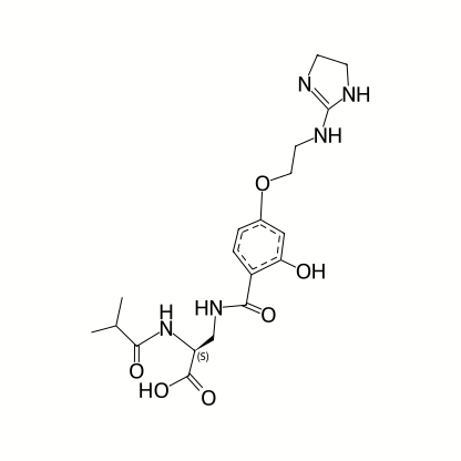 CC(C)C(=O)N[C@@H](CNC(=O)c1ccc(OCCNC2=NCCN2)cc1O)C(=O)O